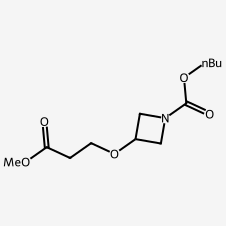 CCCCOC(=O)N1CC(OCCC(=O)OC)C1